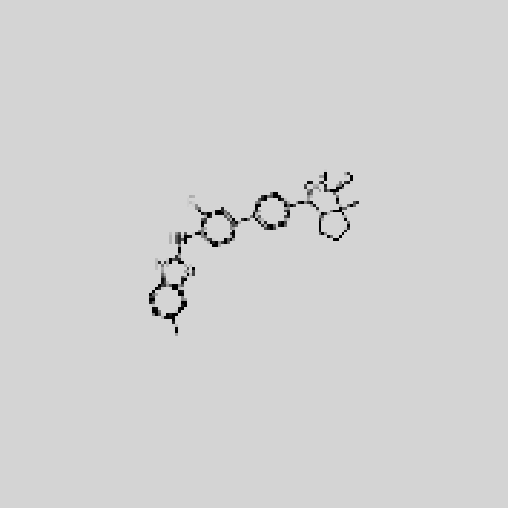 Cc1ccc2nc(Nc3ccc(-c4ccc(C(=O)[C@@H]5CCC[C@@]5(C)C(=O)O)cc4)cc3F)oc2c1